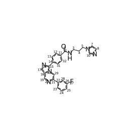 O=C(NCCCn1ccnc1)c1ccc(-c2ncc3cnc(-c4cccc(F)c4)cn23)cc1